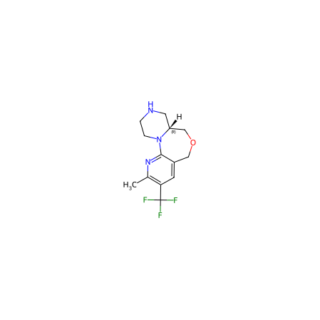 Cc1nc2c(cc1C(F)(F)F)COC[C@H]1CNCCN21